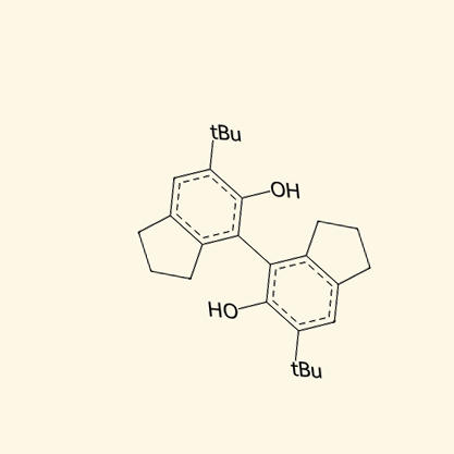 CC(C)(C)c1cc2c(c(-c3c(O)c(C(C)(C)C)cc4c3CCC4)c1O)CCC2